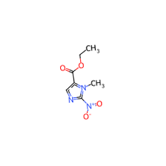 CCOC(=O)c1cnc([N+](=O)[O-])n1C